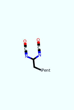 CCCC(C)CC(N=C=O)N=C=O